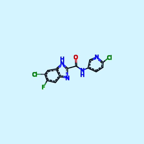 O=C(Nc1ccc(Cl)nc1)c1nc2cc(F)c(Cl)cc2[nH]1